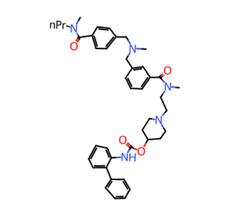 CCCN(C)C(=O)c1ccc(CN(C)Cc2cccc(C(=O)N(C)CCN3CCC(OC(=O)Nc4ccccc4-c4ccccc4)CC3)c2)cc1